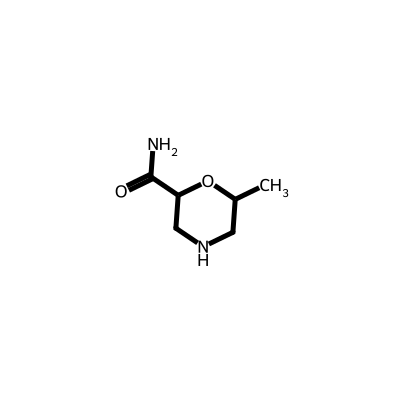 CC1CNCC(C(N)=O)O1